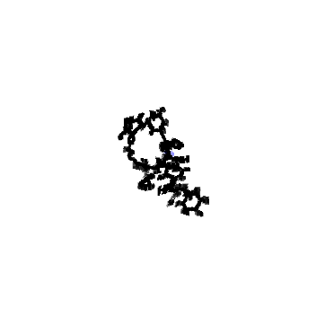 Cc1cc2cc(n1)-c1cnn(C)c1OCCC[C@@H](C1CC1)CN1/C(=N/C2=O)Nc2ccc(N[C@@H](C)CN3CCCCC3)cc21